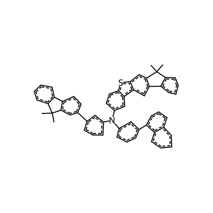 CC1(C)c2ccccc2-c2ccc(-c3cccc(N(c4cccc(-c5cccc6ccccc56)c4)c4ccc5sc6cc7c(cc6c5c4)-c4ccccc4C7(C)C)c3)cc21